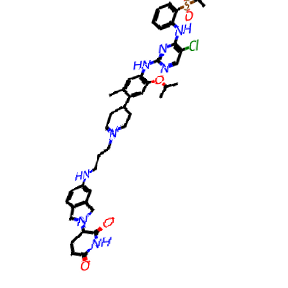 Cc1cc(Nc2ncc(Cl)c(Nc3ccccc3S(=O)(=O)C(C)C)n2)c(OC(C)C)cc1C1CCN(CCCNc2ccc3c(c2)CN(C2CCC(=O)NC2=O)C3)CC1